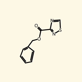 O=C(OCc1ccccc1)c1ncsn1